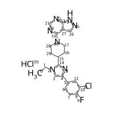 CCn1cc(-c2ccc(F)c(Cl)c2)nc1C1CCN(c2ncnc3[nH]ncc23)CC1.Cl